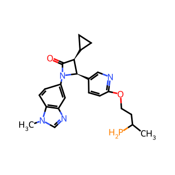 CC(P)CCOc1ccc([C@@H]2[C@H](C3CC3)C(=O)N2c2ccc3c(c2)ncn3C)cn1